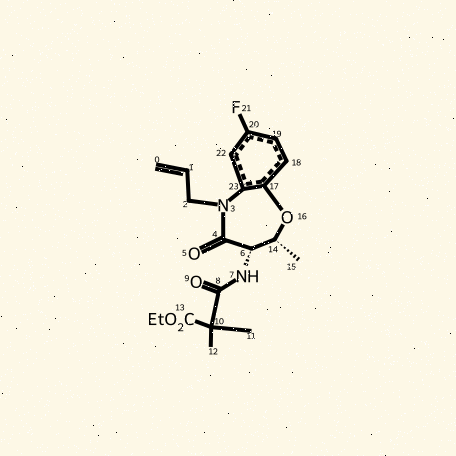 C=CCN1C(=O)[C@@H](NC(=O)C(C)(C)C(=O)OCC)[C@@H](C)Oc2ccc(F)cc21